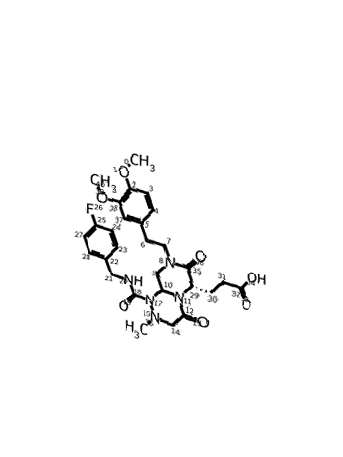 COc1ccc(CCN2CC3N(C(=O)CN(C)N3C(=O)NCc3ccc(F)cc3)[C@@H](CCC(=O)O)C2=O)cc1OC